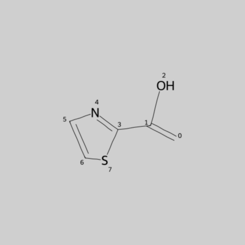 C=C(O)c1nccs1